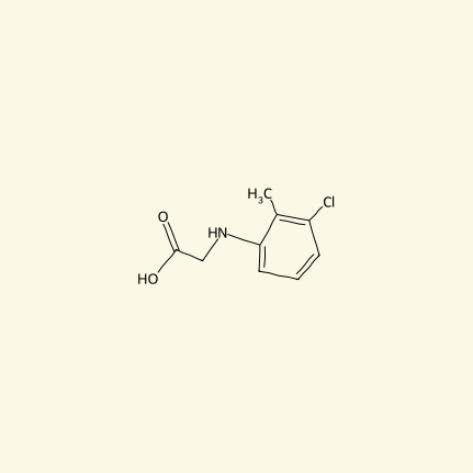 Cc1c(Cl)cccc1NCC(=O)O